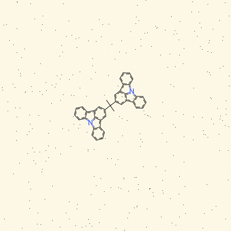 CC(C)(c1cc2c3ccccc3n3c4ccccc4c(c1)c23)c1cc2c3ccccc3n3c4ccccc4c(c1)c23